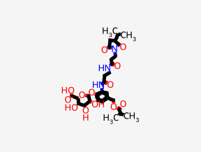 CC(C)C(=O)OCc1ccc(O[C@@H]2OC(C(=O)O)[C@@H](O)[C@H](O)C2O)c(NC(=O)CCNC(=O)CCN2C(=O)CC(C(C)C)C2=O)c1